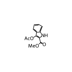 COC(=O)c1[nH]c2ccccc2c1OC(C)=O